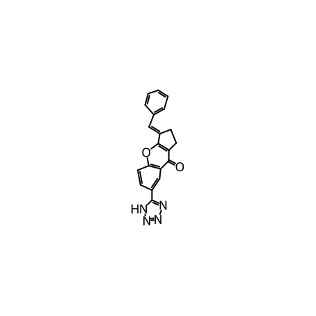 O=c1c2c(oc3ccc(-c4nnn[nH]4)cc13)C(=Cc1ccccc1)CC2